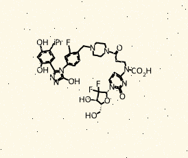 CC(C)c1cc(-c2nnc(O)n2-c2ccc(CN3CCN(C(=O)CCN(C(=O)O)c4ccn([C@@H]5O[C@H](CO)[C@@H](O)C5(F)F)c(=O)n4)CC3)c(F)c2)c(O)cc1O